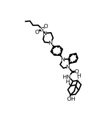 CCCCS(=O)(=O)N1CCN(c2ccc(N3CCN(C(=O)NC4[C@@H]5CC6C[C@H]4CC(O)(C6)C5)c4ccccc43)cc2)CC1